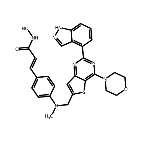 CN(Cc1cc2nc(-c3cccc4[nH]ncc34)nc(N3CCOCC3)c2s1)c1ccc(C=CC(=O)NO)cc1